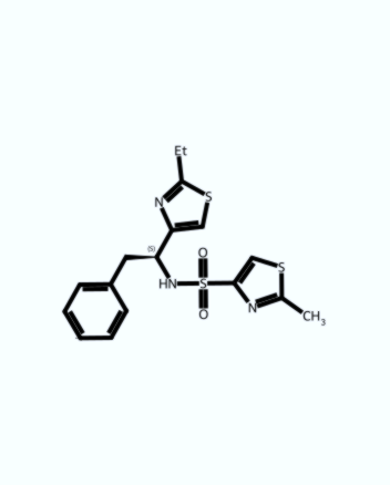 CCc1nc([C@H](Cc2cc[c]cc2)NS(=O)(=O)c2csc(C)n2)cs1